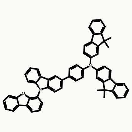 CC1(C)c2ccccc2-c2ccc(N(c3ccc(-c4ccc5c(c4)c4ccccc4n5-c4cccc5c4oc4ccccc45)cc3)c3ccc4c(c3)C(C)(C)c3ccccc3-4)cc21